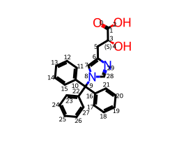 O=C(O)[C@@H](O)Cc1cn(C(c2ccccc2)(c2ccccc2)c2ccccc2)cn1